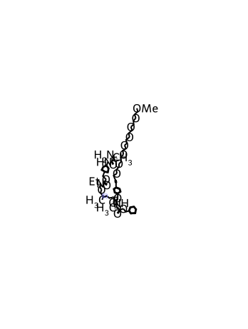 CCN(COC/C(C)=C/CCP(=O)(N[C@@H](C)C(=O)OCc1ccccc1)Oc1ccc(C#CCOCCOCCOCCOCCOCCOCCOCCOC)cc1)C(=O)OCc1ccc(NC(=O)[C@H](C)N)cc1